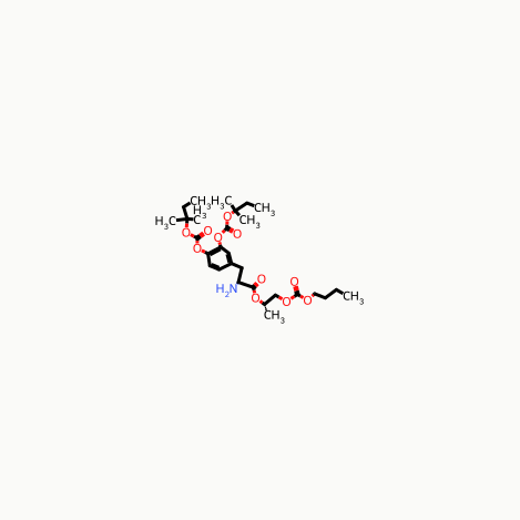 CCCCOC(=O)OC[C@H](C)OC(=O)[C@@H](N)Cc1ccc(OC(=O)OC(C)(C)CC)c(OC(=O)OC(C)(C)CC)c1